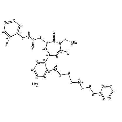 CC(C)(C)CN1C(=O)C(CC(=O)NCc2ccccc2F)OC(c2ccccc2OCCCNCCCc2ccccc2)C=C1Cl.Cl